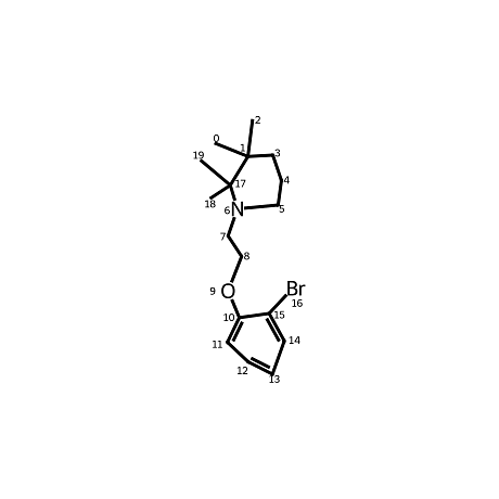 CC1(C)CCCN(CCOc2ccccc2Br)C1(C)C